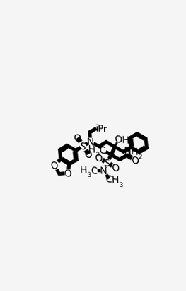 CC(C)CN(CC[C@](O)(Cc1ccccc1)C(C)(CC(N)=O)S(=O)(=O)N(C)C)S(=O)(=O)c1ccc2c(c1)OCO2